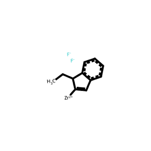 CCC1[C]([Zr+2])=Cc2ccccc21.[F-].[F-]